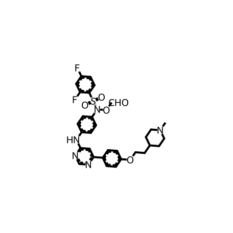 CN1CCC(CCOc2ccc(-c3cc(Nc4ccc(N(OC=O)S(=O)(=O)c5ccc(F)cc5F)cc4)ncn3)cc2)CC1